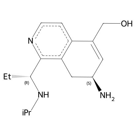 CC[C@@H](NC(C)C)c1nccc2c1C[C@H](N)C=C2CO